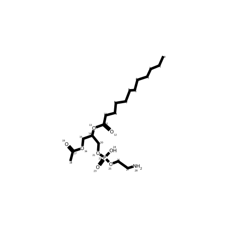 CCCCCCCCCCCC(=O)OC(COC(C)=O)COP(=O)(O)OCCN